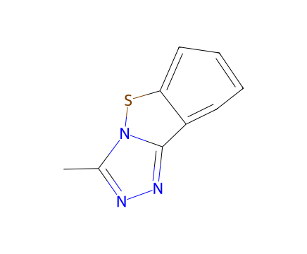 Cc1nnc2c3ccccc3sn12